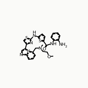 COCCN(C)Cc1cccc2ncc(-c3csc(Nc4ccc(C(=O)Nc5ccccc5N)s4)n3)n12